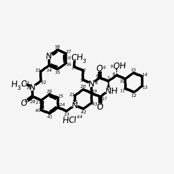 CCCCN1C(=O)[C@@H]([C@H](O)C2CCCCC2)NC(=O)C12CCN(Cc1ccc(C(=O)N(C)CCc3ccccn3)cc1)CC2.Cl